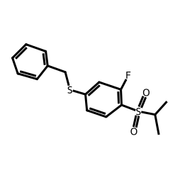 CC(C)S(=O)(=O)c1ccc(SCc2ccccc2)cc1F